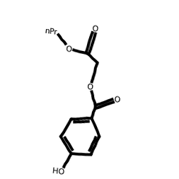 CCCOC(=O)COC(=O)c1ccc(O)cc1